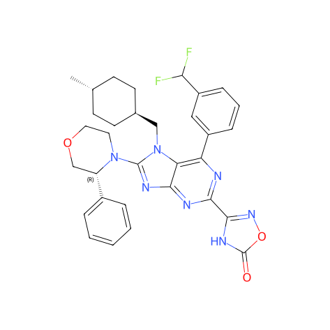 C[C@H]1CC[C@H](Cn2c(N3CCOC[C@H]3c3ccccc3)nc3nc(-c4noc(=O)[nH]4)nc(-c4cccc(C(F)F)c4)c32)CC1